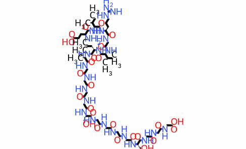 CC[C@H](C)[C@H](NC(=O)CNC(=O)[C@H](CCCNC(=N)N)NC(=O)[C@@H](NC(=O)[C@@H](N)CCC(=O)O)[C@@H](C)CC)C(=O)N[C@@H](CC(C)C)C(=O)N[C@@H](C)C(=O)NCC(=O)NCC(=O)NCC(=O)NCC(=O)N[C@@H](CO)C(=O)NCC(=O)NCC(=O)NCC(=O)NCC(=O)N[C@@H](CO)C(=O)NCC(=O)NCC(=O)NCC(=O)O